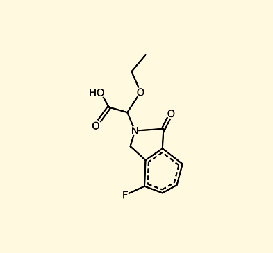 CCOC(C(=O)O)N1Cc2c(F)cccc2C1=O